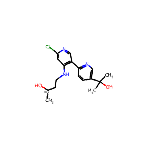 C[C@@H](O)CCNc1cc(Cl)ncc1-c1ccc(C(C)(C)O)cn1